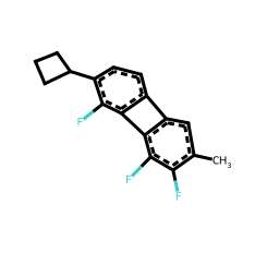 Cc1cc2c(c(F)c1F)-c1c-2ccc(C2CCC2)c1F